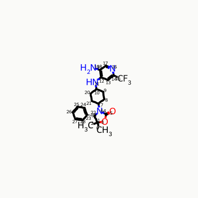 CC1(C)OC(=O)N(C2CCC(Nc3cc(C(F)(F)F)ncc3N)CC2)[C@H]1c1ccccc1